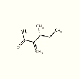 C=C(C(N)=O)[C@H](C)CC